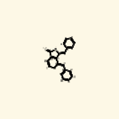 O=C1OC(=Cc2ccccc2)C2=C1C=CCC2=Cc1ccccc1